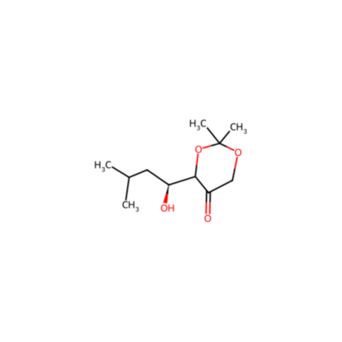 CC(C)C[C@H](O)C1OC(C)(C)OCC1=O